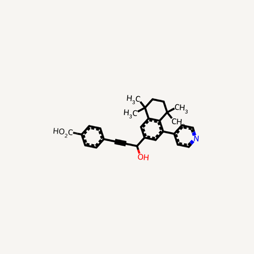 CC1(C)CCC(C)(C)c2c(-c3ccncc3)cc(C(O)C#Cc3ccc(C(=O)O)cc3)cc21